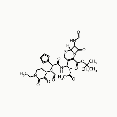 CCN1CCN(N(C=O)C(C(=O)NC(OC(C)=O)C2=C(C(=O)OC(C)(C)C)N3C(=O)[C@H](NC=O)[C@H]3SC2)c2cccs2)C(=O)C1=O